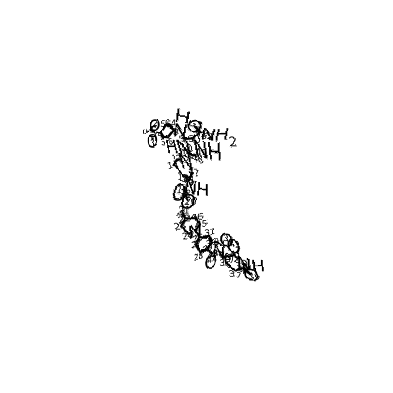 CS(=O)(=O)c1ccc(NC2NC(N3CCC[C@@H](NC(=O)OCC4CCN(c5ccc6c(c5)C(=O)N([C@H]5CCC(=O)NC5=O)C6=O)CC4)C3)CNC2C(N)=O)cc1